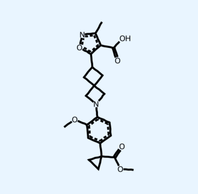 COC(=O)C1(c2ccc(N3CC4(CC(c5onc(C)c5C(=O)O)C4)C3)c(OC)c2)CC1